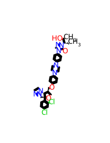 CC[C@@H]([C@H](C)O)n1ncn(-c2ccc(N3CCN(c4ccc(OC[C@H]5CO[C@](Cn6nccn6)(c6ccc(Cl)cc6Cl)C5)cc4)CC3)cc2)c1=O